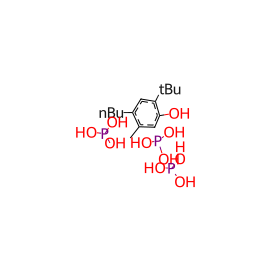 CCCCc1cc(C(C)(C)C)c(O)cc1C.OP(O)O.OP(O)O.OP(O)O